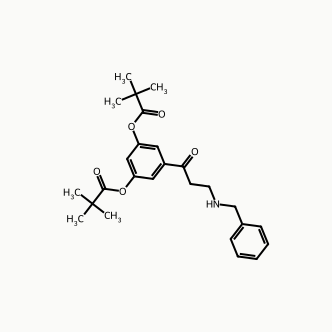 CC(C)(C)C(=O)Oc1cc(OC(=O)C(C)(C)C)cc(C(=O)CCNCc2ccccc2)c1